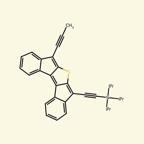 CC#CC1=c2sc3c(c2-c2ccccc21)-c1ccccc1C=3C#C[Si](C(C)C)(C(C)C)C(C)C